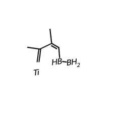 BBC=C(C)C(=C)C.[Ti]